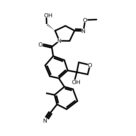 CO/N=C1\C[C@@H](CO)N(C(=O)c2ccc(-c3cccc(C#N)c3C)c(C3(O)COC3)c2)C1